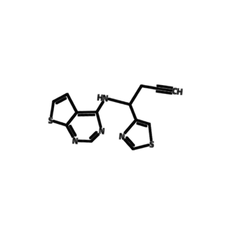 C#CCC(Nc1ncnc2sccc12)c1cscn1